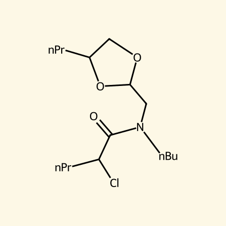 CCCCN(CC1OCC(CCC)O1)C(=O)C(Cl)CCC